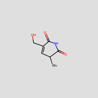 CC(C)(C)C1C=C(CO)C(=O)NC1=O